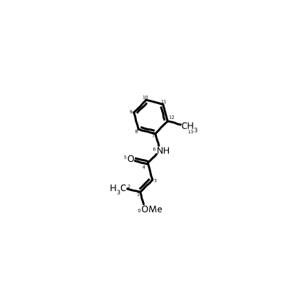 COC(C)=CC(=O)Nc1ccccc1C